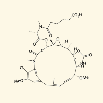 COc1cc2cc(c1Cl)N(C)C(=O)C[C@H](OC(=O)[C@H](C)N(C)C(=O)CCCCC(=O)O)[C@]1(C)O[C@H]1[C@H](C)[C@@H]1C[C@@H](NC(=O)O1)[C@H](OC)/C=C/C=C(\C)C2